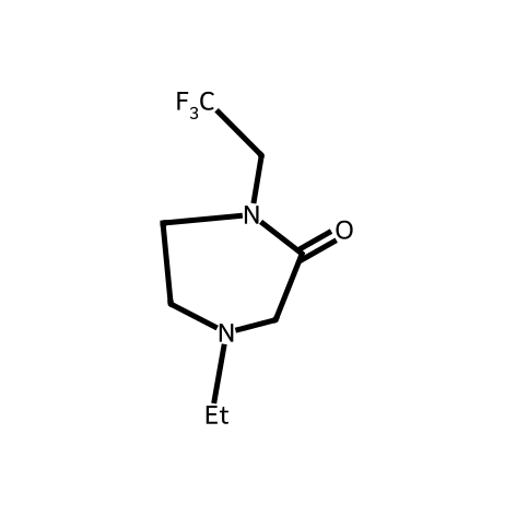 CCN1CCN(CC(F)(F)F)C(=O)C1